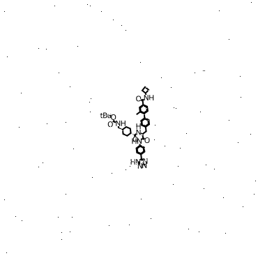 Cc1cc(C(=O)NC2CCC2)ccc1-c1ccc(CC(NC(=O)[C@H]2CC[C@H](CNC(=O)OC(C)(C)C)CC2)C(=O)Nc2ccc(-c3nnn[nH]3)cc2)cc1